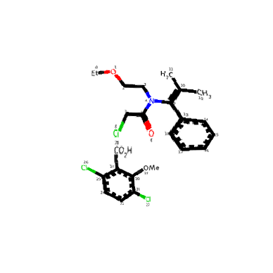 CCOCCN(C(=O)CCl)C(=C(C)C)c1ccccc1.COc1c(Cl)ccc(Cl)c1C(=O)O